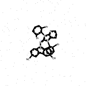 CC(C)c1cccc(C(C)C)c1-n1/c(=N\n2c3ccc(C#N)cc3c3cc(C#N)ccc32)n(-c2c(C(C)C)cccc2C(C)C)c2ncccc21